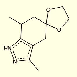 Cc1n[nH]c2c1CC1(CC2C)OCCO1